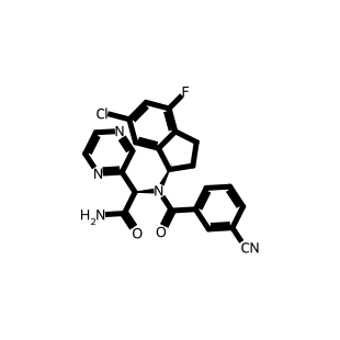 N#Cc1cccc(C(=O)N([C@@H]2CCc3c(F)cc(Cl)cc32)[C@@H](C(N)=O)c2cnccn2)c1